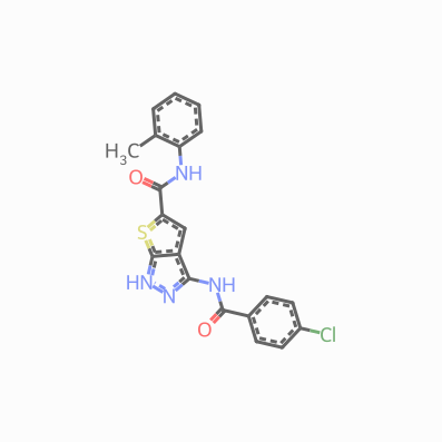 Cc1ccccc1NC(=O)c1cc2c(NC(=O)c3ccc(Cl)cc3)n[nH]c2s1